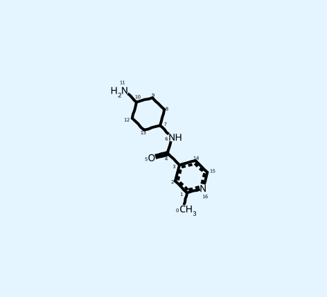 Cc1cc(C(=O)NC2CCC(N)CC2)ccn1